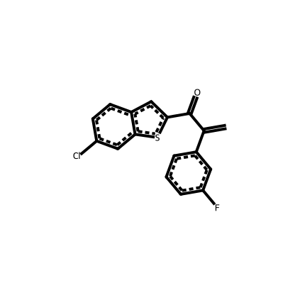 C=C(C(=O)c1cc2ccc(Cl)cc2s1)c1cccc(F)c1